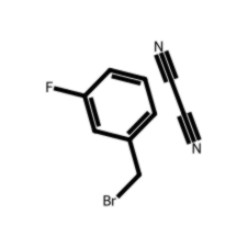 Fc1cccc(CBr)c1.N#CC#N